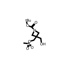 CC(C)(C)OC(=O)N1CC(CO)(COS(C)(=O)=O)C1